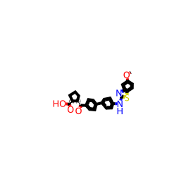 COc1ccc2sc(Nc3ccc(-c4ccc(C(=O)[C@H]5CCC[C@@H]5C(=O)O)cc4)cc3)nc2c1